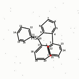 c1ccc(-c2ccccc2[SiH](c2ccccc2)c2ccccc2)cc1